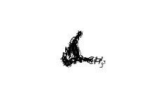 CN(C)C1CN(c2nc3c(c(N4CCN(C(=O)OCc5ccccc5)[C@@H](CC#N)C4)n2)CC[C@@H](N2CCCc4ccc(F)cc42)C3)C1